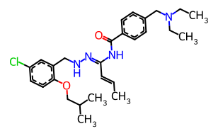 C/C=C/C(=N\NCc1cc(Cl)ccc1OCC(C)C)NC(=O)c1ccc(CN(CC)CC)cc1